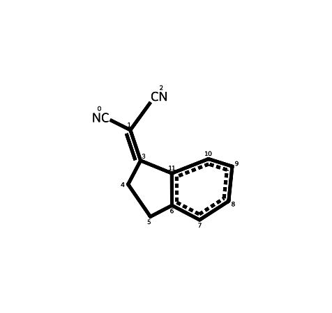 N#CC(C#N)=C1CCc2ccccc21